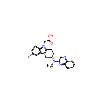 CN(c1cnc2ccccc2n1)[C@H]1CCc2c(c3cc(F)ccc3n2CC(=O)O)C1